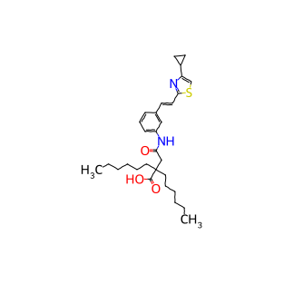 CCCCCCC(CCCCCC)(CC(=O)Nc1cccc(/C=C/c2nc(C3CC3)cs2)c1)C(=O)O